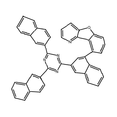 c1ccc2cc(-c3nc(-c4ccc5ccccc5c4)nc(-c4cc(-c5cccc6oc7cccnc7c56)c5ccccc5c4)n3)ccc2c1